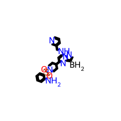 Bc1cnn2c(NCc3cccnc3)cc(C3CCN(S(=O)(=O)c4ccccc4N)CC3)nc12